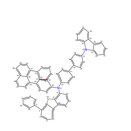 c1ccc(-c2cccc3c2sc2c(N(c4ccc(-c5ccc(-n6c7ccccc7c7ccccc76)cc5)cc4)c4ccc(-c5cccc6cccc(-c7ccccc7)c56)cc4)cccc23)cc1